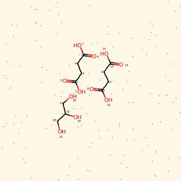 O=C(O)CCC(=O)O.O=C(O)CCC(=O)O.OCC(O)CO